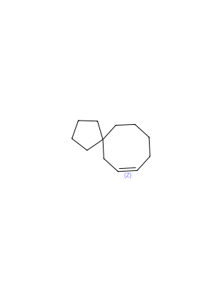 C1=C\CC2(CCCC/1)CCCC2